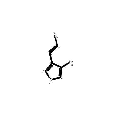 CCC=Cc1cscc1Br